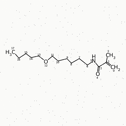 C=C(C)C(=O)NCCCCCCOCCCCC